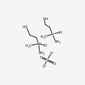 CC[N+](C)(N)CCO.CC[N+](C)(N)CCO.O=S(=O)([O-])[O-]